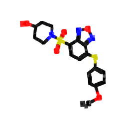 COc1ccc(Sc2ccc(S(=O)(=O)N3CCC(O)CC3)c3nonc23)cc1